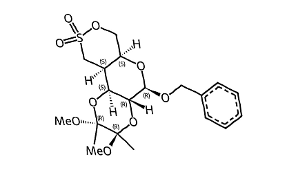 CO[C@]1(C)O[C@H]2[C@H](OCc3ccccc3)O[C@@H]3COS(=O)(=O)C[C@@H]3[C@@H]2O[C@@]1(C)OC